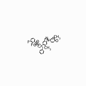 Cc1cc2c(cnn2-c2ccc(=O)n(C)c2)cc1C1(Cc2ccccc2)CCN(S(=O)(=O)c2cccc(F)c2F)C1